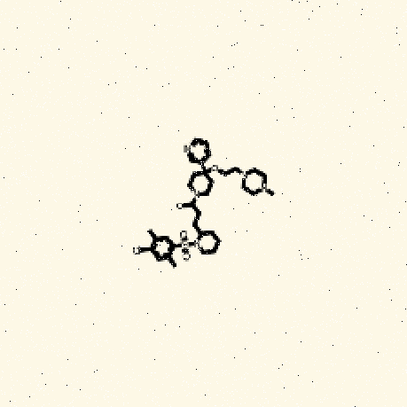 Cc1cc(S(=O)(=O)N2CCCCC2CCC(=O)N2CCC(OCCN3CCN(C)CC3)(c3cccnc3)CC2)c(C)cc1Cl